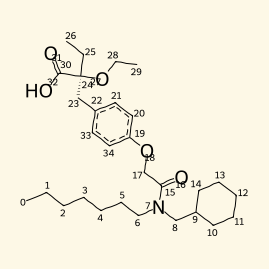 CCCCCCCN(CC1CCCCC1)C(=O)COc1ccc(C[C@](CC)(OCC)C(=O)O)cc1